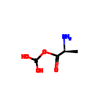 C[C@H](N)C(=O)OB(O)O